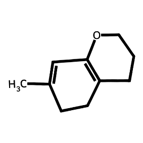 CC1=CC2=C(CCCO2)CC1